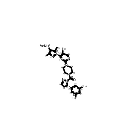 CC(=O)Nc1c(C)nn(-c2nc(N3CCN(C(=O)N4N=CC[C@H]4c4cc(F)cc(F)c4)CC3)ncc2F)c1C